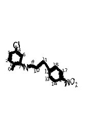 Cc1ccc(Cl)cc1N=CC=Cc1ccc([N+](=O)[O-])cc1